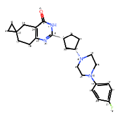 O=c1[nH]c([C@@H]2CC[C@H](N3CCN(c4ccc(F)cc4)CC3)C2)nc2c1CC1(CC2)CC1